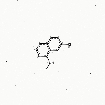 CNc1nccc2ccc(Cl)cc12